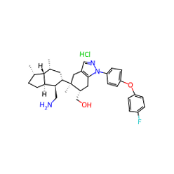 C[C@@H]1C[C@H]([C@@]2(C)Cc3cnn(-c4ccc(Oc5ccc(F)cc5)cc4)c3C[C@@H]2CO)[C@@H](CN)[C@H]2CC[C@H](C)[C@@H]21.Cl